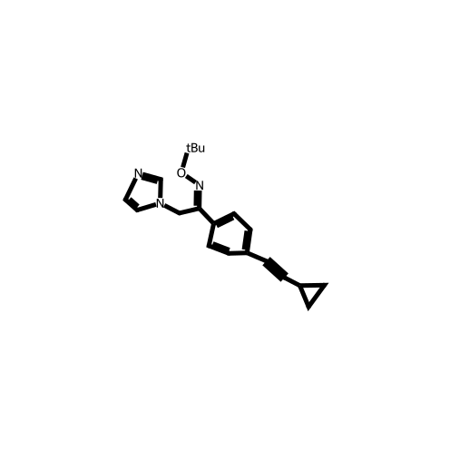 CC(C)(C)O/N=C(\Cn1ccnc1)c1ccc(C#CC2CC2)cc1